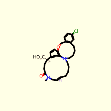 CN1C/C=C/CCCCN2CCCCc3cc(Cl)ccc3COc3ccc(cc32)[C@@H](C(=O)O)CCC1=O